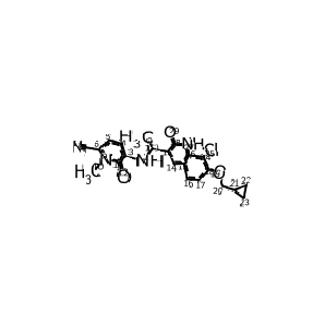 C[C@H](Nc1ccc(C#N)n(C)c1=O)c1cc2ccc(OCC3CC3)c(Cl)c2[nH]c1=O